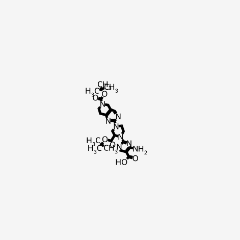 CC(C)(C)OC(=O)C1CN(c2ncc3c(n2)CCN(C(=O)OC(C)(C)C)C3)CCN1c1ncc(C(=O)O)c(N)n1